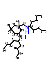 CCCCC(CCCC)NCC1(C)CC(NC(CCCC)CCCC)CC(C)(C)C1